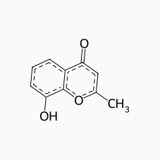 Cc1cc(=O)c2cccc(O)c2o1